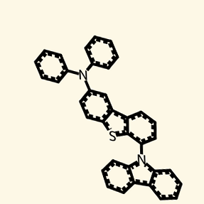 c1ccc(N(c2ccccc2)c2ccc3sc4c(-n5c6ccccc6c6ccccc65)cccc4c3c2)cc1